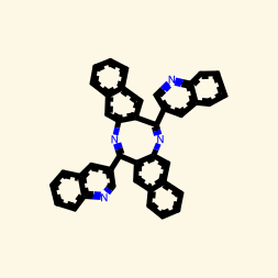 c1ccc2cc3c(cc2c1)/N=C(/c1cnc2ccccc2c1)c1cc2ccccc2cc1/N=C\3c1cnc2ccccc2c1